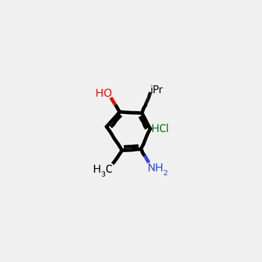 Cc1cc(O)c(C(C)C)cc1N.Cl